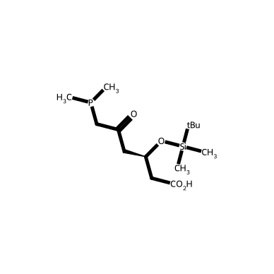 CP(C)CC(=O)C[C@H](CC(=O)O)O[Si](C)(C)C(C)(C)C